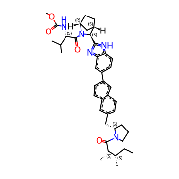 CC[C@H](C)[C@H](C)C(=O)N1CCC[C@H]1Cc1ccc2cc(-c3ccc4[nH]c([C@@H]5[C@H]6CC[C@H](C6)N5C(=O)[C@@H](NC(=O)OC)C(C)C)nc4c3)ccc2c1